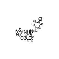 CCOC(=O)c1nnsc1Nc1ccccc1/N=C/c1ccc(Cl)cc1